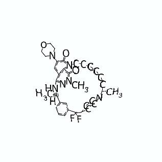 CC1CCCCCCn2c(=O)c(N3CCOCC3)cc3c(nn(C)c(=O)c32)N[C@H](C)c2cccc(c2)C(F)(F)C2CCN1CC2